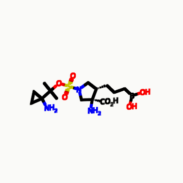 CC(C)(OS(=O)(=O)N1C[C@H](CCCB(O)O)[C@](N)(C(=O)O)C1)C1(N)CC1